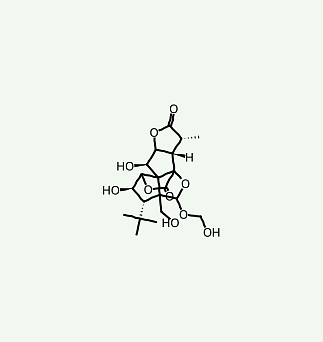 C[C@H]1C(=O)OC2[C@H]1C13OC(OCO)C4(CO)[C@H](C(C)(C)C)[C@@H](O)C(OC1=O)C34[C@H]2O